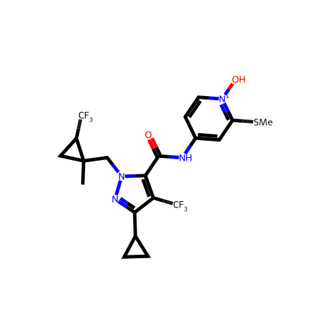 CSc1cc(NC(=O)c2c(C(F)(F)F)c(C3CC3)nn2CC2(C)CC2C(F)(F)F)cc[n+]1O